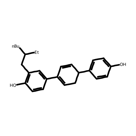 CCCCC(CC)Cc1cc(C2=CCC(c3ccc(O)cc3)C=C2)ccc1O